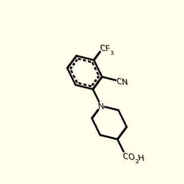 N#Cc1c(N2CCC(C(=O)O)CC2)cccc1C(F)(F)F